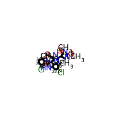 CCn1c(-c2cnc(OC)nc2OC)nc2c1[C@@]1(C(=O)Nc3cc(Cl)ccc31)N(c1cc(Cl)ccc1C)C2=O